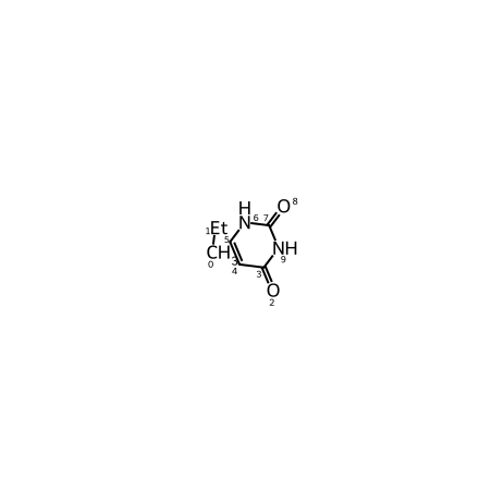 CCC.O=c1cc[nH]c(=O)[nH]1